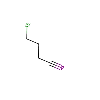 P#CCCCBr